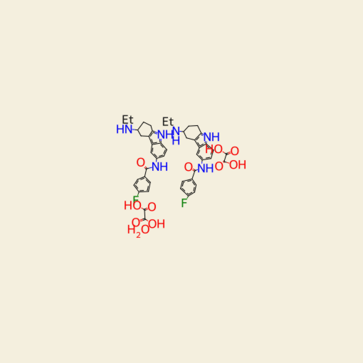 CCNC1CCc2[nH]c3ccc(NC(=O)c4ccc(F)cc4)cc3c2C1.CCNC1CCc2[nH]c3ccc(NC(=O)c4ccc(F)cc4)cc3c2C1.O.O=C(O)C(=O)O.O=C(O)C(=O)O